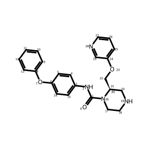 O=C(Nc1ccc(Oc2ccccc2)cc1)N1CCNC[C@@H]1COc1cccnc1